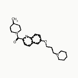 CC1CCN(C(=O)c2ccc3cc(OCCCN4CCCCC4)ccc3n2)CC1